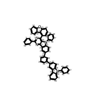 c1ccc(-c2nc(-c3cccc4oc5ccccc5c34)c3c(n2)c2cc(-c4cccc(-c5ccc6c(c5)c5ccccc5n6-c5ccccc5)c4)ccc2n3-c2ccccc2)cc1